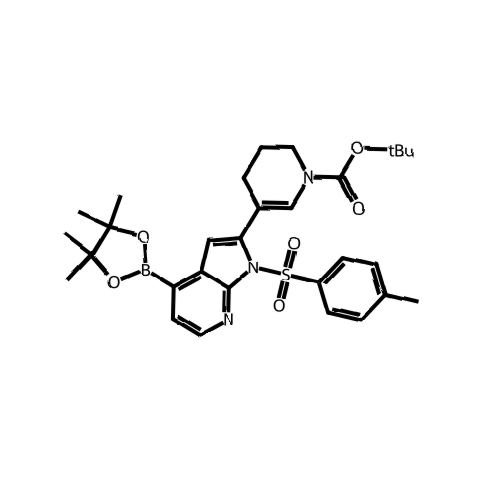 Cc1ccc(S(=O)(=O)n2c(C3=CN(C(=O)OC(C)(C)C)CCC3)cc3c(B4OC(C)(C)C(C)(C)O4)ccnc32)cc1